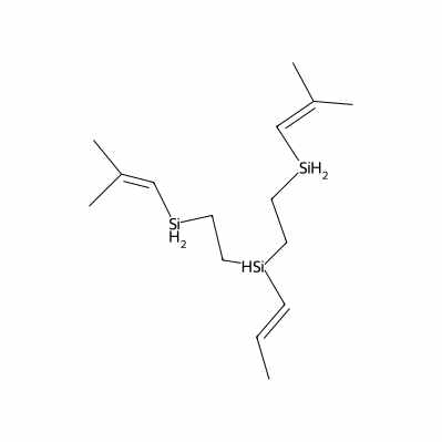 CC=C[SiH](CC[SiH2]C=C(C)C)CC[SiH2]C=C(C)C